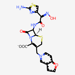 Nc1nc(/C(=N/O)C(=O)NC2C(=O)N3C(C(=O)[O-])=C(C[n+]4ccc5occc5c4)CS[C@H]23)cs1